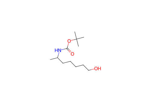 CC(CCCCCO)NC(=O)OC(C)(C)C